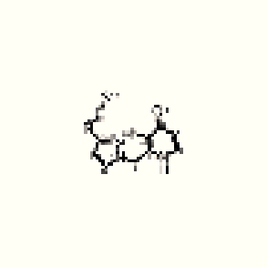 O=c1cc[nH]c(Cn2ccc(N=C=S)n2)c1F